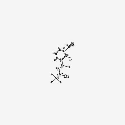 C/C(=N\[S+]([O-])C(C)(C)C)c1cccc(C#N)c1C